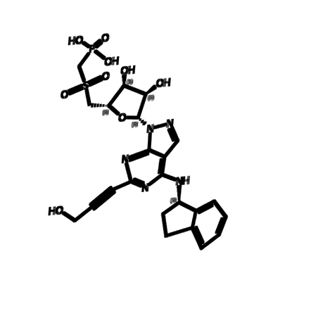 O=P(O)(O)CS(=O)(=O)C[C@H]1O[C@@H](n2ncc3c(N[C@@H]4CCc5ccccc54)nc(C#CCO)nc32)[C@H](O)[C@@H]1O